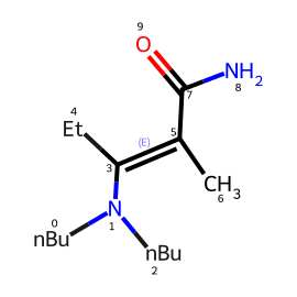 CCCCN(CCCC)/C(CC)=C(\C)C(N)=O